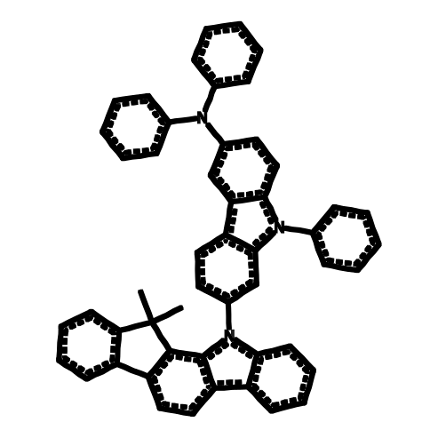 CC1(C)c2ccccc2-c2ccc3c4ccccc4n(-c4ccc5c6cc(N(c7ccccc7)c7ccccc7)ccc6n(-c6ccccc6)c5c4)c3c21